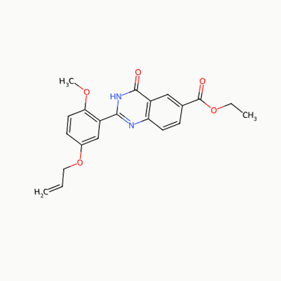 C=CCOc1ccc(OC)c(-c2nc3ccc(C(=O)OCC)cc3c(=O)[nH]2)c1